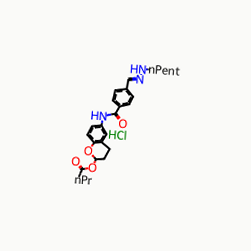 CCCCCNN=Cc1ccc(C(=O)Nc2ccc3c(c2)CCC(OC(=O)CCC)O3)cc1.Cl